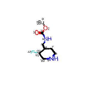 CC(C)(C)OC(=O)NCC1CCNC[C@H]1F